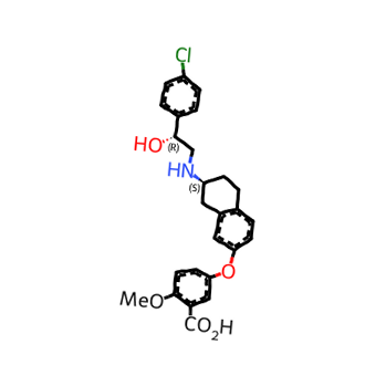 COc1ccc(Oc2ccc3c(c2)C[C@@H](NC[C@H](O)c2ccc(Cl)cc2)CC3)cc1C(=O)O